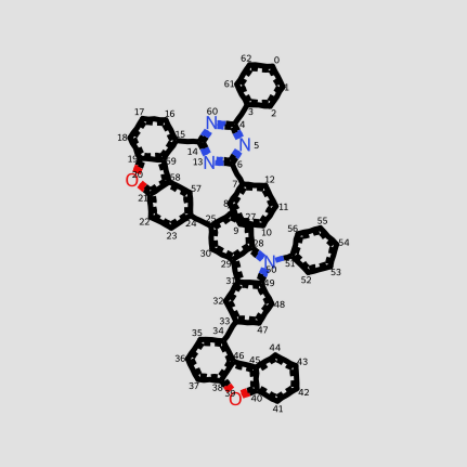 c1ccc(-c2nc(-c3ccccc3)nc(-c3cccc4oc5ccc(-c6ccc7c(c6)c6cc(-c8cccc9oc%10ccccc%10c89)ccc6n7-c6ccccc6)cc5c34)n2)cc1